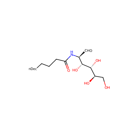 CCCCCCCCCCCCCC(=O)N[C@@H](C=O)[C@@H](O)[C@H](O)[C@H](O)CO